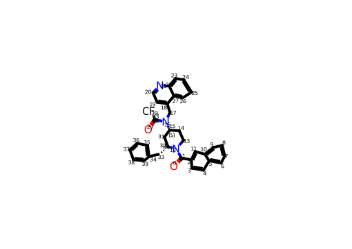 O=C(c1ccc2ccccc2c1)N1CC[C@H](N(Cc2ccnc3ccccc23)C(=O)C(F)(F)F)C[C@H]1Cc1ccccc1